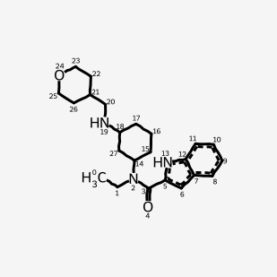 CCN(C(=O)c1cc2ccccc2[nH]1)C1CCCC(NCC2CCOCC2)C1